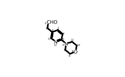 O=CCc1ccc(N2CCOCC2)nc1